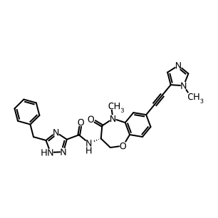 CN1C(=O)[C@@H](NC(=O)c2n[nH]c(Cc3ccccc3)n2)COc2ccc(C#Cc3cncn3C)cc21